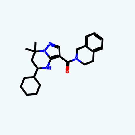 CC1(C)CC(C2CCCCC2)Nc2c(C(=O)N3CCc4ccccc4C3)cnn21